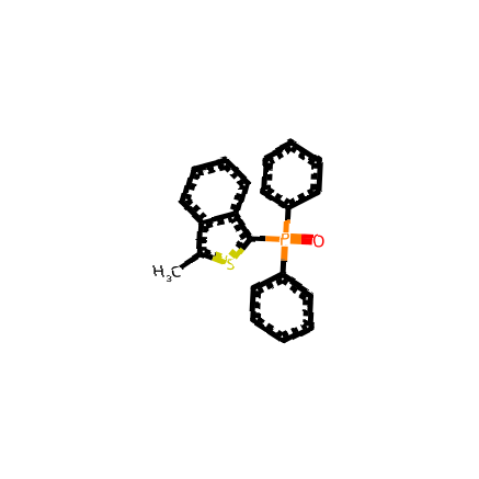 Cc1sc(P(=O)(c2ccccc2)c2ccccc2)c2ccccc12